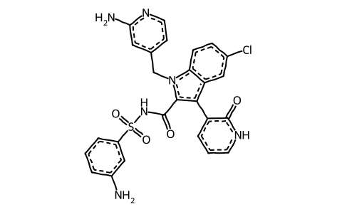 Nc1cccc(S(=O)(=O)NC(=O)c2c(-c3ccc[nH]c3=O)c3cc(Cl)ccc3n2Cc2ccnc(N)c2)c1